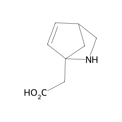 O=C(O)CC12C=CC(CN1)C2